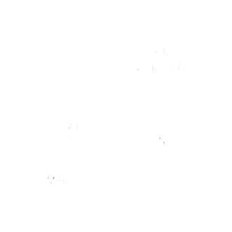 CCCOc1cc(-c2cncc([C@@H]3CO[B-](O)(O)C3)c2)ccc1OC